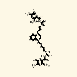 N=C(NCCCCCN1CCN(CCCNC(=N)NC(=O)c2nc(Cl)c(N)nc2N)c2ccccc21)NC(=O)c1nc(Cl)c(N)nc1N